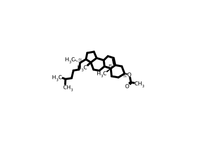 CC(=O)O[C@H]1CC[C@@]2(C)C(=CCC3C4CCC([C@@H](C)CCCC(C)C)C4(C)CCC32)C1